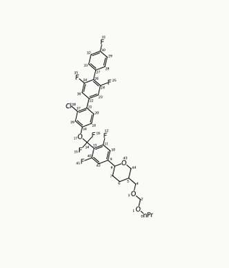 CCCOCOCC1CCC(c2cc(F)c(C(F)(F)Oc3ccc(-c4cc(F)c(-c5ccc(F)cc5)c(F)c4)c(Cl)c3)c(F)c2)OC1